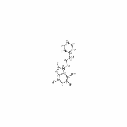 Cc1cc2c(F)cc(F)c(F)c2n1CCNc1ccncn1